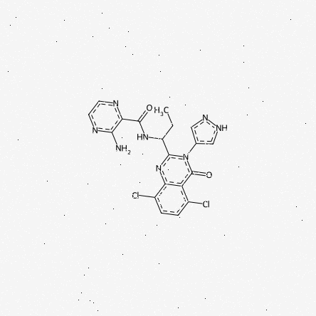 CCC(NC(=O)c1nccnc1N)c1nc2c(Cl)ccc(Cl)c2c(=O)n1-c1cn[nH]c1